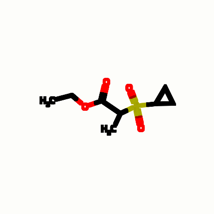 CCOC(=O)C(C)S(=O)(=O)C1CC1